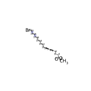 COC(=O)CCCC#CC#CCCCCCC/C=C/C=C/Br